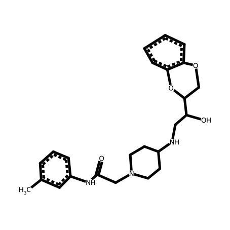 Cc1cccc(NC(=O)CN2CCC(NCC(O)C3COc4ccccc4O3)CC2)c1